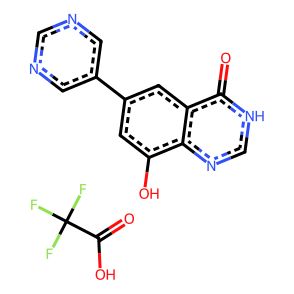 O=C(O)C(F)(F)F.O=c1[nH]cnc2c(O)cc(-c3cncnc3)cc12